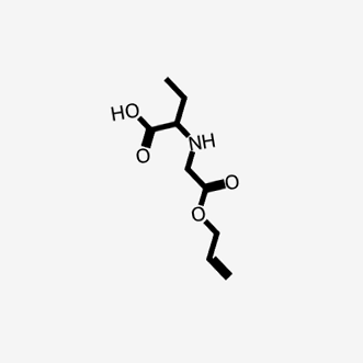 C=CCOC(=O)CNC(CC)C(=O)O